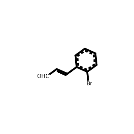 O=CC=Cc1ccccc1Br